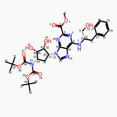 COC(=O)c1nc(N[C@H](CO)Cc2ccccc2)c2ncn([C@@H]3C[C@H](N(C(=O)OC(C)(C)C)C(=O)OC(C)(C)C)[C@@H](O)[C@H]3O)c2n1